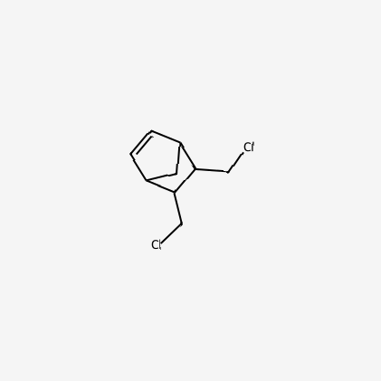 ClCC1C2C=CC(C2)C1CCl